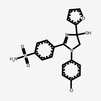 NS(=O)(=O)c1ccc(C2=NC(O)(c3ccco3)CN2c2ccc(Cl)cc2)cc1